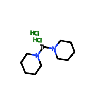 C1CC[N]([Ti][N]2CCCCC2)CC1.Cl.Cl